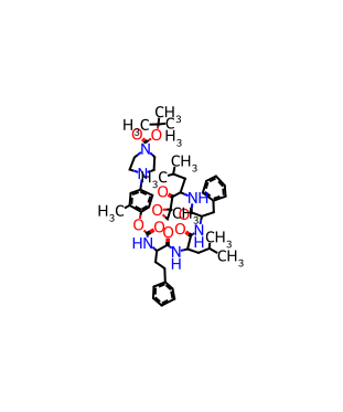 Cc1cc(N2CCN(C(=O)OC(C)(C)C)CC2)ccc1OC(=O)NC(CCc1ccccc1)C(=O)NC(CC(C)C)C(=O)NC(Cc1ccccc1)C(=O)NC(CC(C)C)C(=O)C1(C)CO1